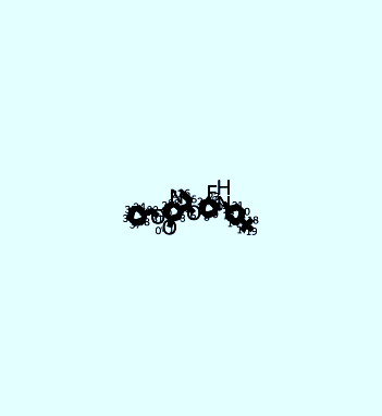 COc1cc2c(Oc3ccc(Nc4ccc(C(C)(C)C)cc4)c(F)c3)ccnc2cc1OCc1ccccc1